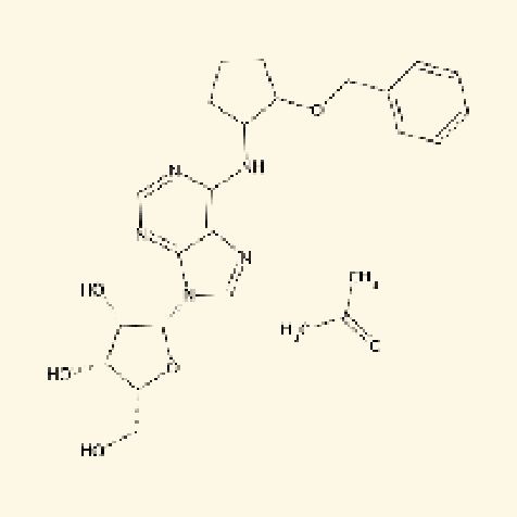 CC(C)=O.OC[C@H]1O[C@@H](n2cnc3c(NC4CCCC4OCc4ccccc4)ncnc32)[C@@H](O)[C@H]1O